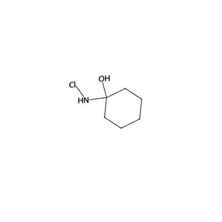 OC1(NCl)CCCCC1